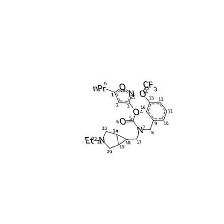 CCCc1cc(OC(=O)N(Cc2cccc(OC(F)(F)F)c2)CC2C3CN(CC)CC32)no1